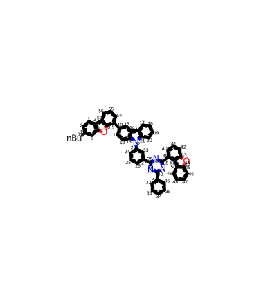 CCCCc1ccc2c(c1)oc1c(-c3ccc4c(c3)c3ccccc3n4-c3cccc(-c4nc(-c5ccccc5)nc(-c5cccc6oc7ccccc7c56)n4)c3)cccc12